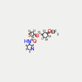 O=C(Nc1cccnc1)c1sccc1OCc1cccc(OC(F)(F)F)c1